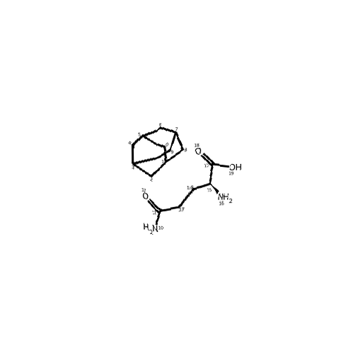 C1C2CC3CC1CC(C2)C3.NC(=O)CC[C@H](N)C(=O)O